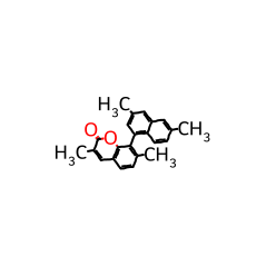 Cc1ccc2c(-c3c(C)ccc4cc(C)c(=O)oc34)cc(C)cc2c1